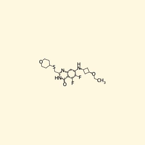 CCO[C@H]1C[C@@H](Nc2cc3nc(CSC4CCOCC4)[nH]c(=O)c3c(F)c2F)C1